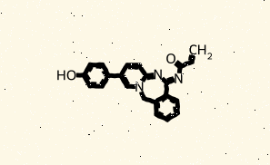 C=CC(=O)/N=C1\N=C2C=CC(c3ccc(O)cc3)=CN2Cc2ccccc21